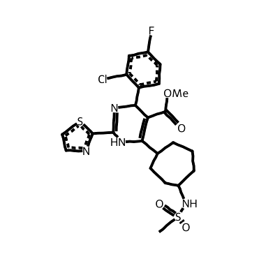 COC(=O)C1=C(C2CCCC(NS(C)(=O)=O)CC2)NC(c2nccs2)=NC1c1ccc(F)cc1Cl